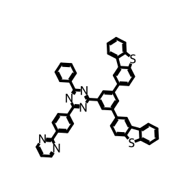 c1ccc(-c2nc(-c3ccc(-c4ncccn4)cc3)nc(-c3cc(-c4ccc5sc6ccccc6c5c4)cc(-c4ccc5sc6ccccc6c5c4)c3)n2)cc1